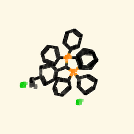 Cc1ccc(C([P+](c2ccccc2)(c2ccccc2)c2ccccc2)[P+](c2ccccc2)(c2ccccc2)c2ccccc2)cc1.[Cl-].[Cl-]